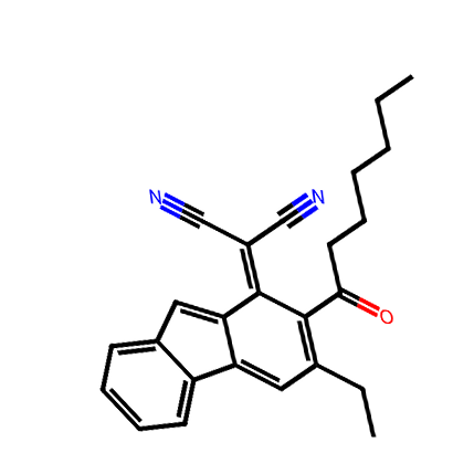 CCCCCCC(=O)c1c(CC)cc2c(c1=C(C#N)C#N)=Cc1ccccc1-2